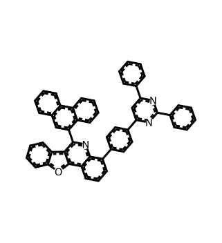 c1ccc(-c2cc(-c3ccc(-c4cccc5c4nc(-c4cc6ccccc6c6ccccc46)c4c6ccccc6oc54)cc3)nc(-c3ccccc3)n2)cc1